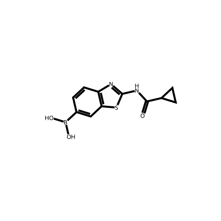 O=C(Nc1nc2ccc(B(O)O)cc2s1)C1CC1